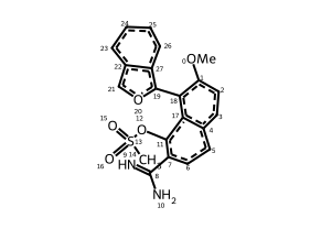 COc1ccc2ccc(C(=N)N)c(OS(C)(=O)=O)c2c1-c1occ2ccccc12